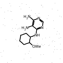 COC1CCCCC1Nc1ncnc(N)c1N